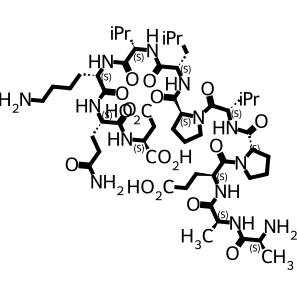 CC(C)C[C@H](NC(=O)[C@@H]1CCCN1C(=O)[C@@H](NC(=O)[C@@H]1CCCN1C(=O)[C@H](CCC(=O)O)NC(=O)[C@H](C)NC(=O)[C@H](C)N)C(C)C)C(=O)N[C@H](C(=O)N[C@@H](CCCCN)C(=O)N[C@@H](CCC(N)=O)C(=O)N[C@@H](CC(=O)O)C(=O)O)C(C)C